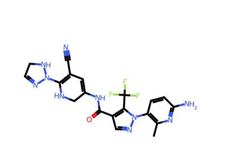 Cc1nc(N)ccc1-n1ncc(C(=O)NC2=CC(C#N)=C(N3N=CCN3)NC2)c1C(F)(F)F